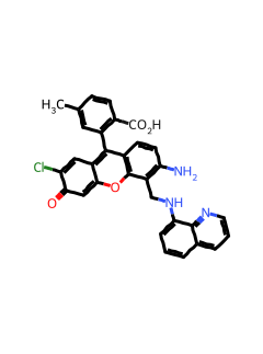 Cc1ccc(C(=O)O)c(-c2c3cc(Cl)c(=O)cc-3oc3c(CNc4cccc5cccnc45)c(N)ccc23)c1